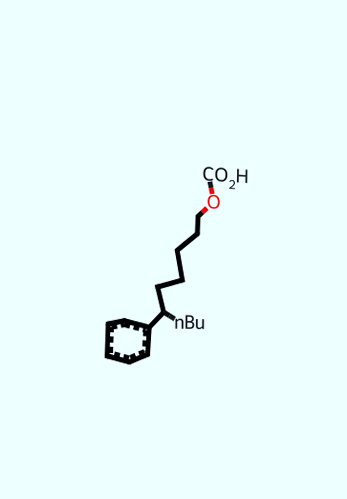 CCCCC(CCCCCOC(=O)O)c1ccccc1